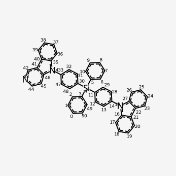 c1ccc([Si](c2ccccc2)(c2ccc(-n3c4ccccc4c4ccccc43)cc2)c2ccc(-n3c4ccccc4c4cnccc43)cc2)cc1